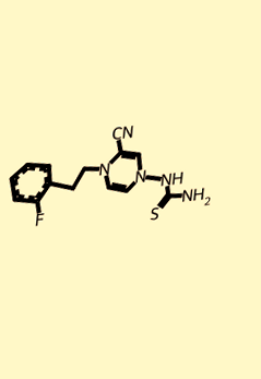 N#CC1=CN(NC(N)=S)C=CN1CCc1ccccc1F